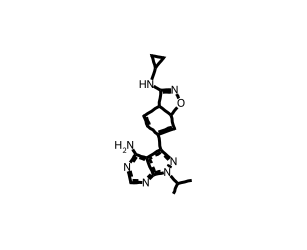 CC(C)n1nc(C2=CC3ON=C(NC4CC4)C3C=C2)c2c(N)ncnc21